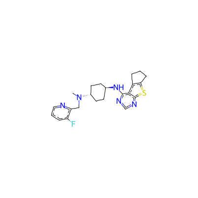 CN(Cc1ncccc1F)[C@H]1CC[C@H](Nc2ncnc3sc4c(c23)CCC4)CC1